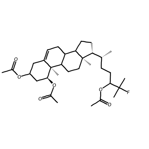 CC(=O)OC1CC2=CCC3C4CC[C@H]([C@H](C)CCC(OC(C)=O)C(C)(C)F)[C@@]4(C)CCC3[C@@]2(C)[C@@H](OC(C)=O)C1